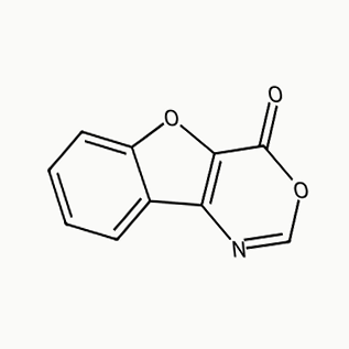 O=c1ocnc2c1oc1ccccc12